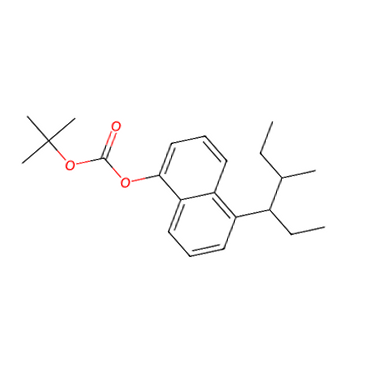 CCC(C)C(CC)c1cccc2c(OC(=O)OC(C)(C)C)cccc12